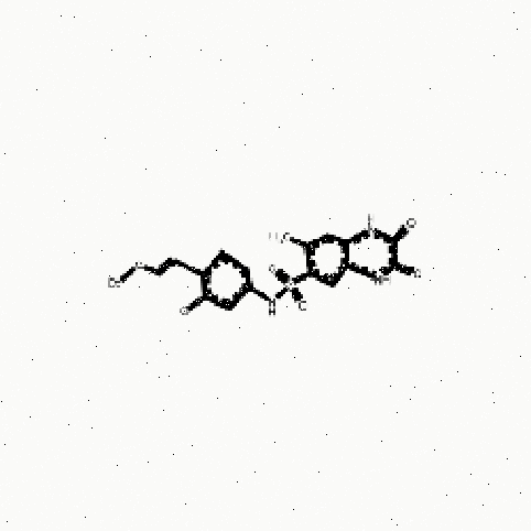 CCO/C=C/c1ccc(NS(=O)(=O)c2cc3[nH]c(=O)c(=O)[nH]c3cc2C)cc1Cl